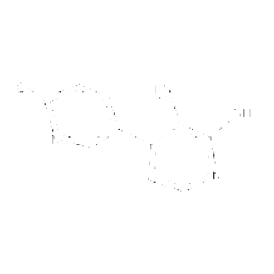 Nc1nccc(-c2ccc(Cl)nc2)c1N